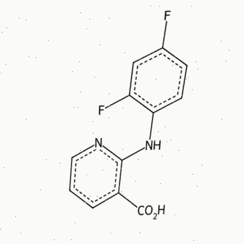 O=C(O)c1cccnc1Nc1ccc(F)cc1F